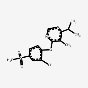 Cc1c(Oc2ccc(S(C)(=O)=O)cc2Cl)ncnc1C(C)C